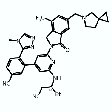 CC[C@@H](CC#N)Nc1cc(-c2cc(C#N)ccc2-c2nncn2C)cc(N2Cc3c(cc(CN4CCC5(CC5)C4)cc3C(F)(F)F)C2=O)n1